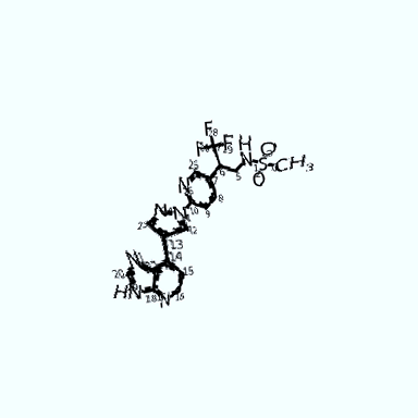 CS(=O)(=O)NCC(c1ccc(-n2cc(-c3ccnc4[nH]cnc34)cn2)nc1)C(F)(F)F